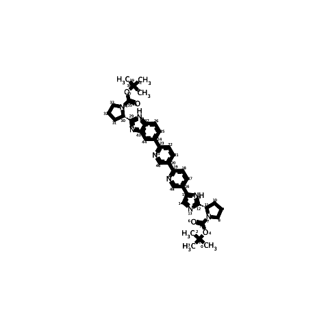 CC(C)(C)OC(=O)N1CCC[C@H]1c1ncc(-c2ccc(-c3ccc(-c4ccc5[nH]c([C@@H]6CCCN6C(=O)OC(C)(C)C)nc5c4)nc3)nc2)[nH]1